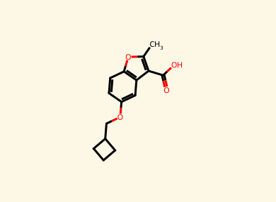 Cc1oc2ccc(OCC3CCC3)cc2c1C(=O)O